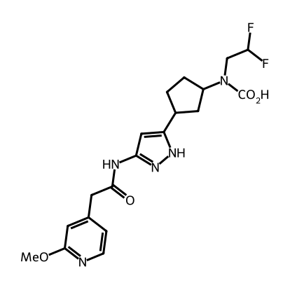 COc1cc(CC(=O)Nc2cc(C3CCC(N(CC(F)F)C(=O)O)C3)[nH]n2)ccn1